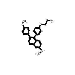 COc1ccc(-c2ccc3cc(OC)ccc3c2-c2ccc(OCCN)cc2)cc1